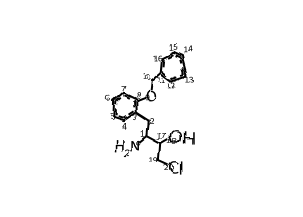 NC(Cc1ccccc1OCc1ccccc1)C(O)CCl